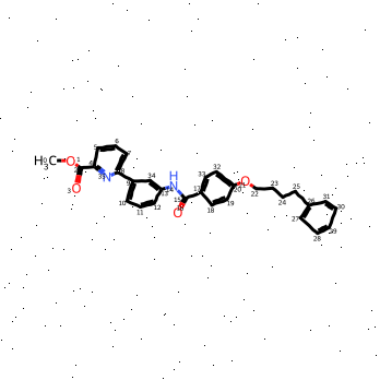 COC(=O)c1cccc(-c2cccc(NC(=O)c3ccc(OCCCCc4ccccc4)cc3)c2)n1